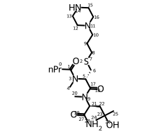 CCCC(=O)N(C)[C@H](CSCCCN1CCNCC1)C(=O)N(C)[C@@H](CC(C)(C)O)C(N)=O